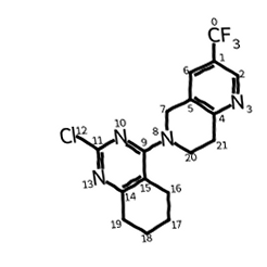 FC(F)(F)c1cnc2c(c1)CN(c1nc(Cl)nc3c1CCCC3)CC2